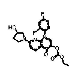 CCOC(=O)Oc1cn(-c2ccc(F)cc2F)c2nc(N3CCC(O)C3)ccc2c1=O